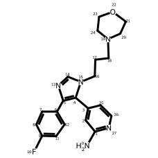 Nc1cc(-c2c(-c3ccc(F)cc3)ncn2CCCN2CCOCC2)ccn1